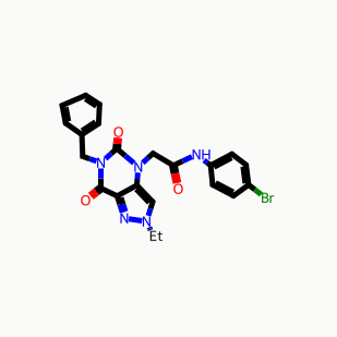 CCn1cc2c(n1)c(=O)n(Cc1ccccc1)c(=O)n2CC(=O)Nc1ccc(Br)cc1